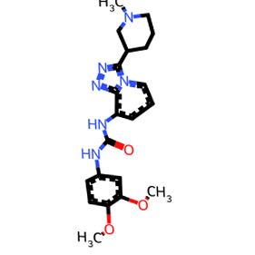 COc1ccc(NC(=O)Nc2cccn3c(C4CCCN(C)C4)nnc23)cc1OC